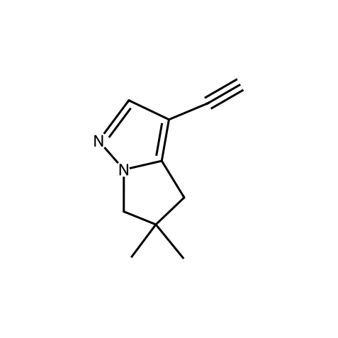 C#Cc1cnn2c1CC(C)(C)C2